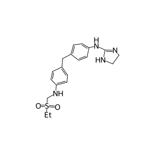 CCS(=O)(=O)CNc1ccc(Cc2ccc(NC3=NCCN3)cc2)cc1